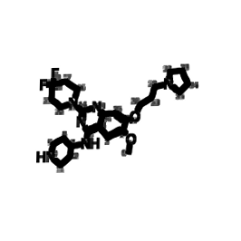 COc1cc2c(NC3CCNCC3)nc(N3CCC(F)(F)CC3)nc2cc1OCCCN1CCCC1